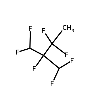 CC(F)(F)C(F)(C(F)F)C(F)F